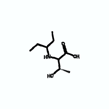 CCC(CC)NC(C(=O)O)[C@H](C)O